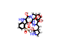 CS(=O)(=O)c1cccc2[nH]c(C(=O)N3CC4CCCC4C3C(=O)NC(CC3CCNC3=O)C(=O)CO)cc12